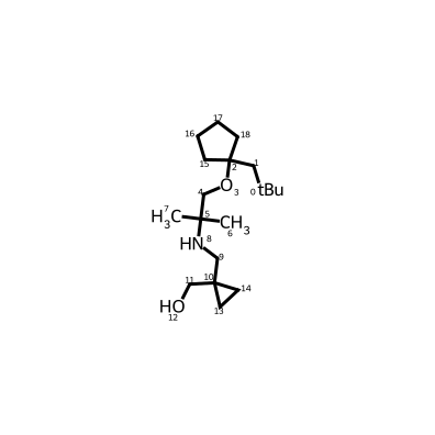 CC(C)(C)CC1(OCC(C)(C)NCC2(CO)CC2)CCCC1